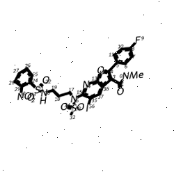 CNC(=O)c1c(-c2ccc(F)cc2)oc2nc(N(CCCNS(=O)(=O)c3ccccc3[N+](=O)[O-])S(C)(=O)=O)c(I)cc12